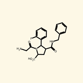 NCC(=O)N1C(C(=O)O)CC(C(=O)NCc2ccccc2)C1c1ccccc1F